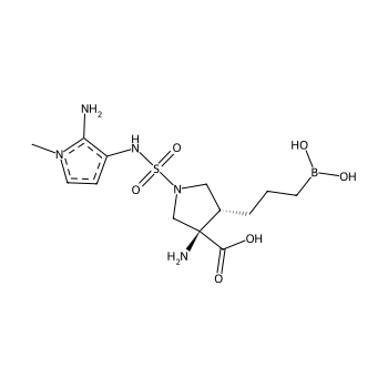 Cn1ccc(NS(=O)(=O)N2C[C@H](CCCB(O)O)[C@](N)(C(=O)O)C2)c1N